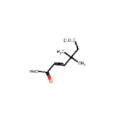 CCOC(=O)CC(C)(C)/C=C/C(=O)OC